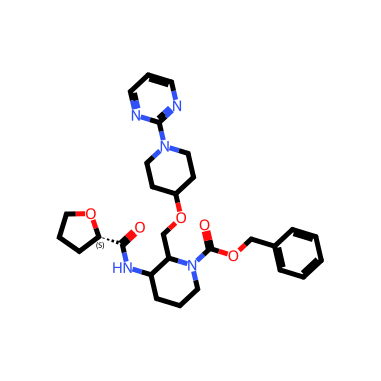 O=C(NC1CCCN(C(=O)OCc2ccccc2)C1COC1CCN(c2ncccn2)CC1)[C@@H]1CCCO1